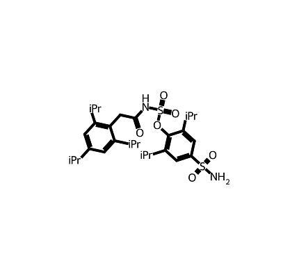 CC(C)c1cc(C(C)C)c(CC(=O)NS(=O)(=O)Oc2c(C(C)C)cc(S(N)(=O)=O)cc2C(C)C)c(C(C)C)c1